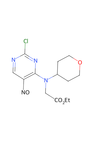 CCOC(=O)CN(c1nc(Cl)ncc1N=O)C1CCOCC1